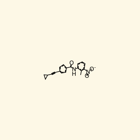 Cc1c(NC(=O)c2ccc(C#CC3CC3)cc2)cccc1[N+](=O)[O-]